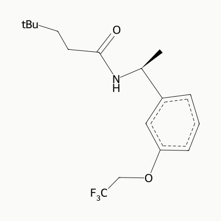 C[C@H](NC(=O)CCC(C)(C)C)c1cccc(OCC(F)(F)F)c1